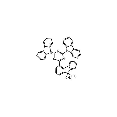 CC1(C)c2ccccc2-c2c(-c3nc(-n4c5ccccc5c5ccccc54)nc(-n4c5ccccc5c5ccccc54)n3)cccc21